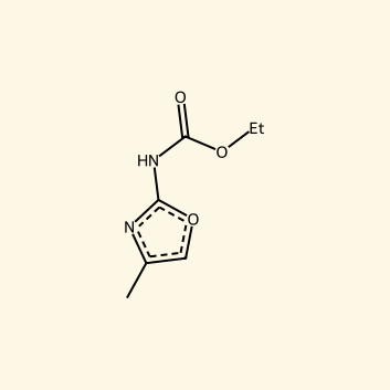 CCOC(=O)Nc1nc(C)co1